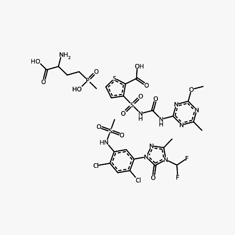 COc1nc(C)nc(NC(=O)NS(=O)(=O)c2ccsc2C(=O)O)n1.CP(=O)(O)CCC(N)C(=O)O.Cc1nn(-c2cc(NS(C)(=O)=O)c(Cl)cc2Cl)c(=O)n1C(F)F